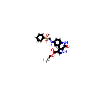 CCOC(=O)c1c[nH]c2c(=O)[nH]c3ccc(NCS(=O)(=O)c4ccccc4)cc3c12